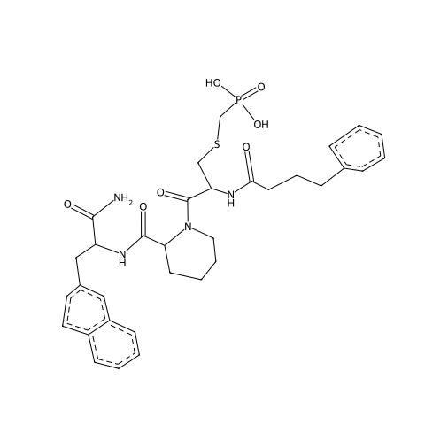 NC(=O)C(Cc1ccc2ccccc2c1)NC(=O)C1CCCCN1C(=O)C(CSCP(=O)(O)O)NC(=O)CCCc1ccccc1